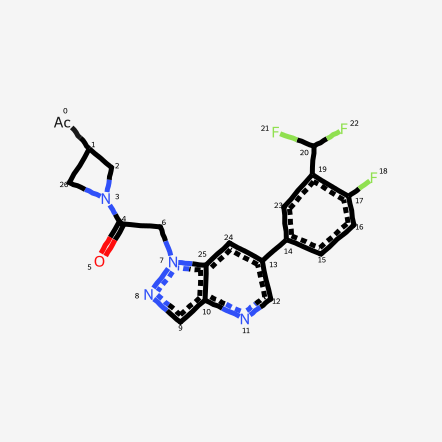 CC(=O)C1CN(C(=O)Cn2ncc3ncc(-c4ccc(F)c(C(F)F)c4)cc32)C1